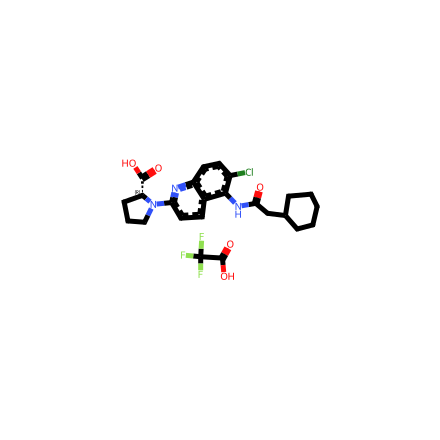 O=C(CC1CCCCC1)Nc1c(Cl)ccc2nc(N3CCC[C@@H]3C(=O)O)ccc12.O=C(O)C(F)(F)F